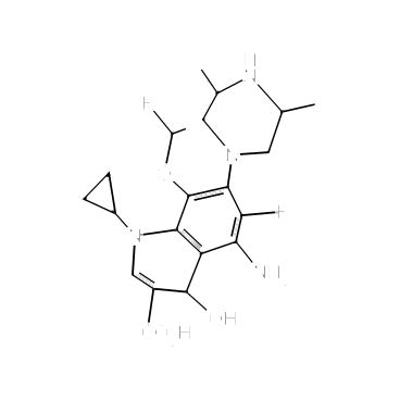 CC1CN(c2c(F)c(N)c3c(c2OC(F)F)N(C2CC2)C=C(C(=O)O)C3O)CC(C)N1